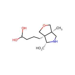 C[C@]12CN[C@H](C(=O)O)[C@@]1(CCCB(O)O)COC2